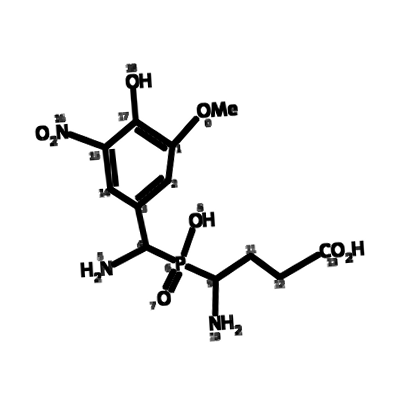 COc1cc(C(N)P(=O)(O)C(N)CCC(=O)O)cc([N+](=O)[O-])c1O